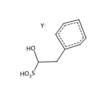 O=S(=O)(O)C(O)Cc1ccccc1.[Y]